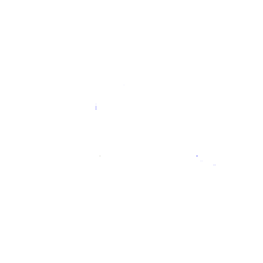 Cc1nnc(-c2ccn3c(-c4cc(NC(=O)NCC(F)(F)F)cc(OC5CCC5)c4)cnc3c2)o1